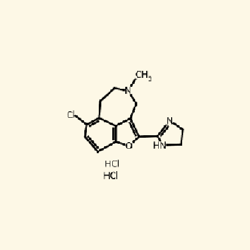 CN1CCc2c(Cl)ccc3oc(C4=NCCN4)c(c23)C1.Cl.Cl